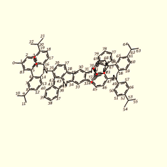 Cc1cccc(-c2cc(C(C)C)ccc2N(c2ccc(C(C)C)cc2)c2ccc3c4cc5c(cc4n4c6ccccc6c2c34)c2ccc(N(c3ccc(C(C)C)cc3)c3ccc(C(C)C)cc3-c3cccc(C)c3)c3c4ccccc4n5c23)c1